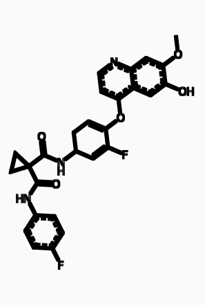 COc1cc2nccc(OC3=CCC(NC(=O)C4(C(=O)Nc5ccc(F)cc5)CC4)C=C3F)c2cc1O